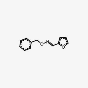 C(=N\OCc1ccccc1)/c1ccco1